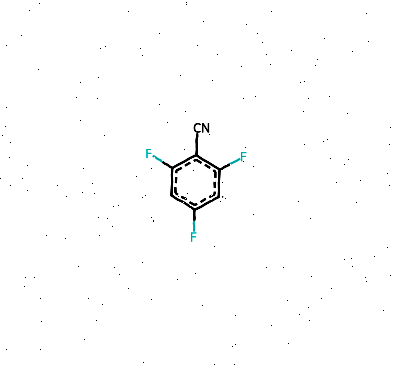 N#Cc1c(F)[c]c(F)cc1F